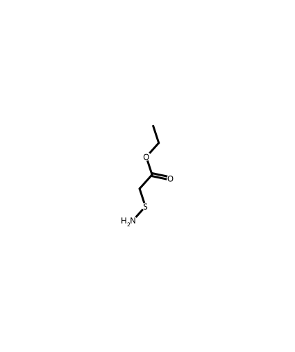 CCOC(=O)CSN